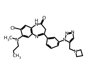 CCCN(C)c1cc2c(cc1Cl)NC(=O)CC(c1cccc(-n3nncc3CN3CCC3)c1)=N2